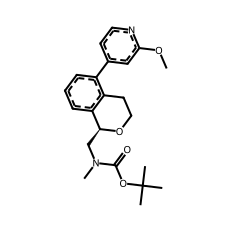 COc1cc(-c2cccc3c2CCO[C@H]3CN(C)C(=O)OC(C)(C)C)ccn1